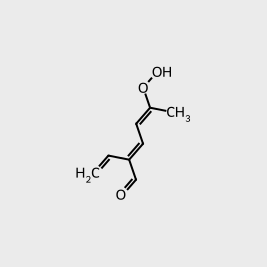 C=C/C(C=O)=C\C=C(/C)OO